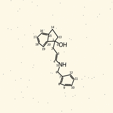 OC1(CC=CNCc2ccccc2)CCc2ccccc21